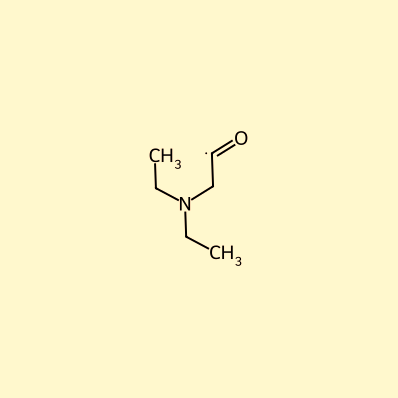 CCN(CC)C[C]=O